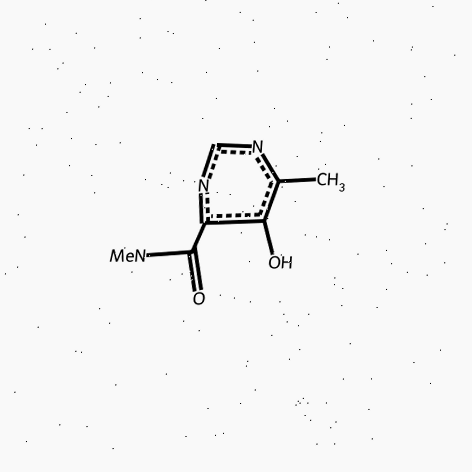 CNC(=O)c1ncnc(C)c1O